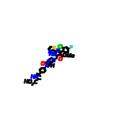 COC(=O)C1=C(CN2CCN3C(=O)N(c4ccc(C(C)(C)NC(C)C(=O)O)cc4)C[C@@H]3C2)NC(c2nccs2)=N[C@H]1c1ccc(F)cc1Cl